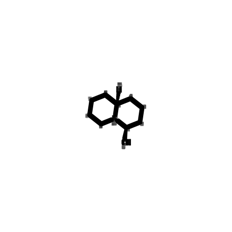 N#C[C@@H]1CCC[C@@H]2CCCCN21